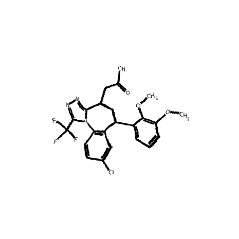 COc1cccc(C2CC(CC(=O)O)c3nnc(C(F)(F)F)n3-c3ccc(Cl)cc32)c1OC